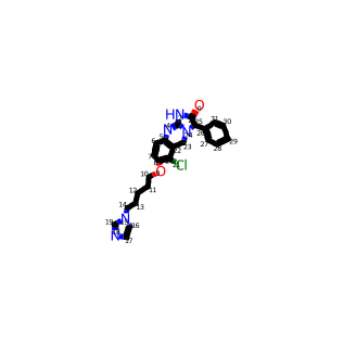 O=C1NC2=Nc3ccc(OCCCCCn4ccnc4)c(Cl)c3CN2C1c1ccccc1